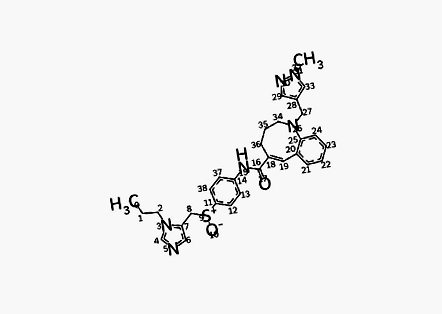 CCCn1cncc1C[S+]([O-])c1ccc(NC(=O)C2=Cc3ccccc3N(Cc3cnn(C)c3)CCC2)cc1